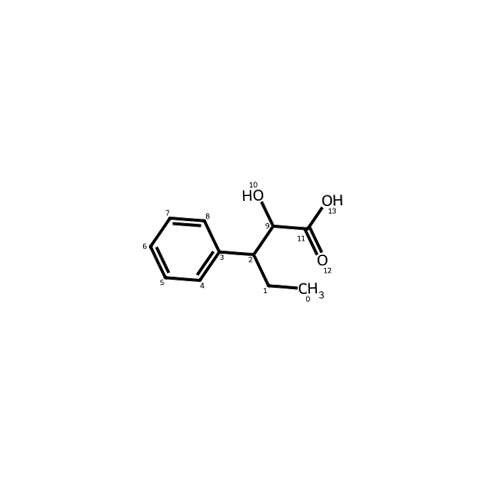 CCC(c1ccccc1)C(O)C(=O)O